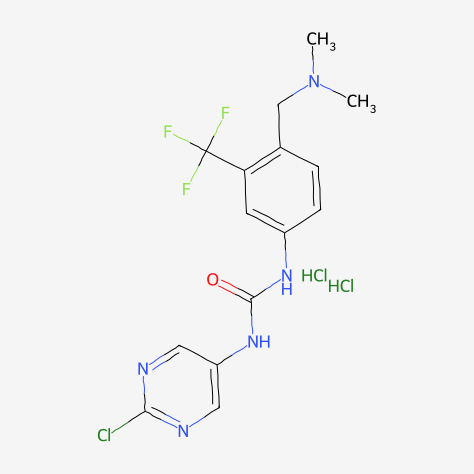 CN(C)Cc1ccc(NC(=O)Nc2cnc(Cl)nc2)cc1C(F)(F)F.Cl.Cl